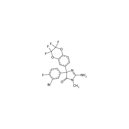 CN1C(=O)C(c2ccc(F)c(Br)c2)(c2ccc3c(c2)OC(F)(F)C(F)(F)O3)N=C1N